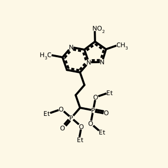 CCOP(=O)(OCC)C(CCc1cc(C)nc2c([N+](=O)[O-])c(C)nn12)P(=O)(OCC)OCC